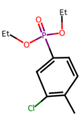 CCOP(=O)(OCC)c1ccc(C)c(Cl)c1